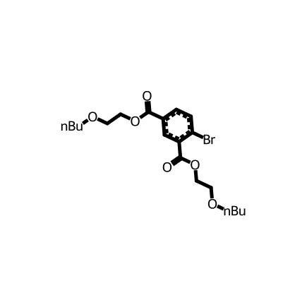 CCCCOCCOC(=O)c1ccc(Br)c(C(=O)OCCOCCCC)c1